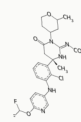 CC1CC(N2C(=O)C[C@@](C)(c3cccc(Nc4ccc(OC(F)F)nc4)c3Cl)N/C2=N\C(=O)O)CCO1